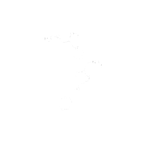 COCC(C)c1ccc(C(N)c2ccc(OCc3ccccc3)cc2)cc1